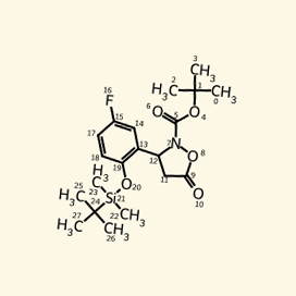 CC(C)(C)OC(=O)N1OC(=O)CC1c1cc(F)ccc1O[Si](C)(C)C(C)(C)C